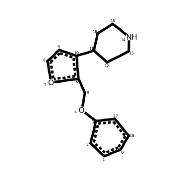 c1ccc(OCc2occc2C2CCNCC2)cc1